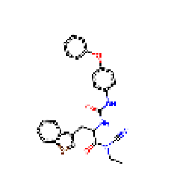 CCN(C#N)C(=O)C(Cc1csc2ccccc12)NC(=O)Nc1ccc(Oc2ccccc2)cc1